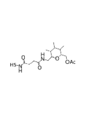 CC(=O)OCC1OC(CNC(=O)CCC(=O)NS)C(C)C(C)C1C